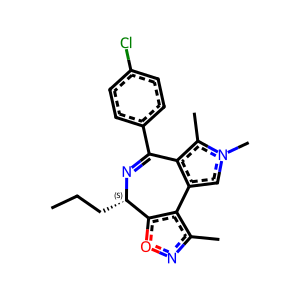 CCC[C@@H]1N=C(c2ccc(Cl)cc2)c2c(cn(C)c2C)-c2c(C)noc21